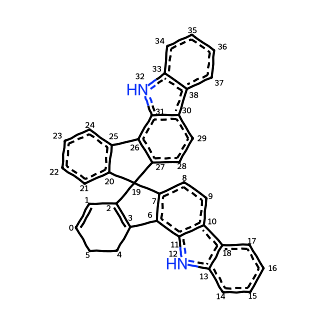 C1=CC2=C(CC1)c1c(ccc3c1[nH]c1ccccc13)C21c2ccccc2-c2c1ccc1c2[nH]c2ccccc21